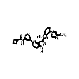 Cc1cn(-c2cccc3[nH]c(-c4n[nH]c5ccc(-c6cncc(NC(=O)C7CCC7)c6)nc45)nc23)cn1